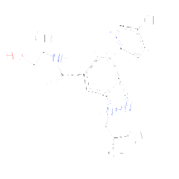 Cc1ccc(-c2cc(C(=O)N[C@@H](C)CO)cc3c2cnn3CC(C)C)nc1